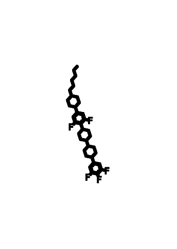 CCCCCCC1CCC(c2cc(F)c(C3CCC(C4CCC(c5cc(F)c(F)c(F)c5)CC4)CC3)c(F)c2)CC1